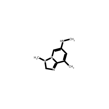 CNC1=CN2C(=NCN2C)C(C)=C1